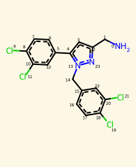 NCc1cc(-c2ccc(Cl)c(Cl)c2)n(Cc2ccc(Cl)c(Cl)c2)n1